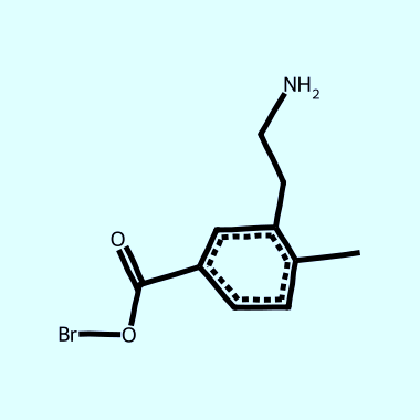 Cc1ccc(C(=O)OBr)cc1CCN